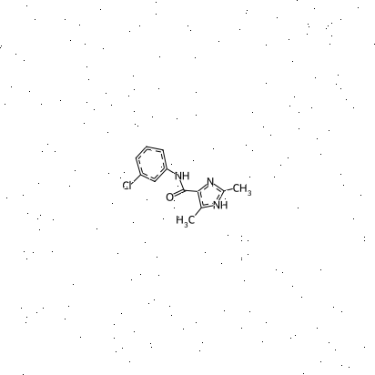 Cc1nc(C(=O)Nc2cccc(Cl)c2)c(C)[nH]1